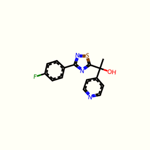 CC(O)(c1ccncc1)c1nc(-c2ccc(F)cc2)ns1